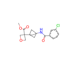 COC(=O)C1(C23CC(NC(=O)c4cccc(Cl)c4)(C2)C3)COC1